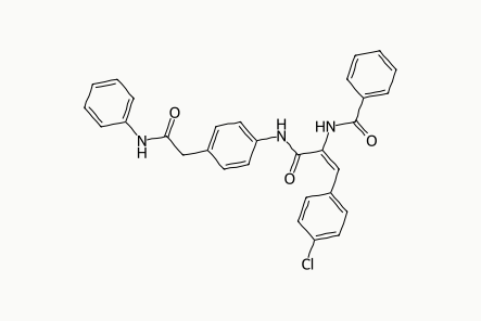 O=C(Cc1ccc(NC(=O)/C(=C\c2ccc(Cl)cc2)NC(=O)c2ccccc2)cc1)Nc1ccccc1